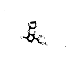 CC[C@@H](N)c1ccc(Cl)c(Oc2cnccn2)c1F